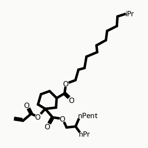 C=CC(=O)OC1(C(=O)OCC(CCC)CCCCC)CCCC(C(=O)OCCCCCCCCCCC(C)C)C1